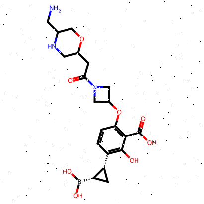 NCC1COC(CC(=O)N2CC(Oc3ccc([C@@H]4C[C@@H]4B(O)O)c(O)c3C(=O)O)C2)CN1